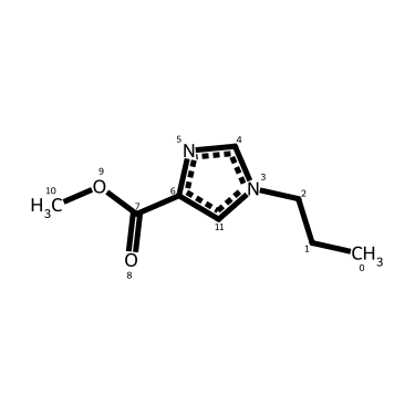 CCCn1cnc(C(=O)OC)c1